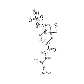 O=C(NNC(=O)[C@@H]1CC2(COC2)[C@@H](NOS(=O)(=O)O)CN1)C1CC1